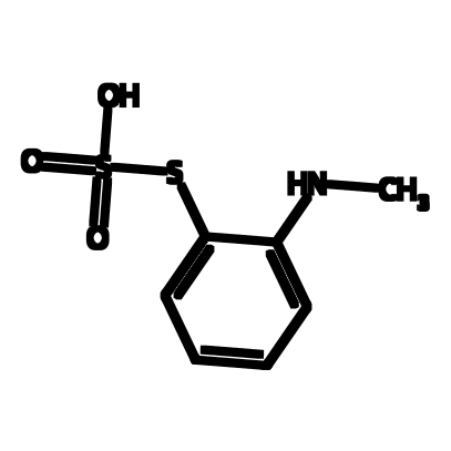 CNc1ccccc1SS(=O)(=O)O